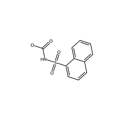 [O]C(=O)NS(=O)(=O)c1cccc2ccccc12